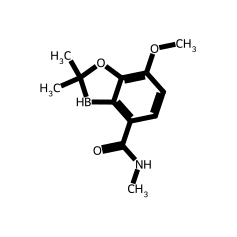 CNC(=O)c1ccc(OC)c2c1BC(C)(C)O2